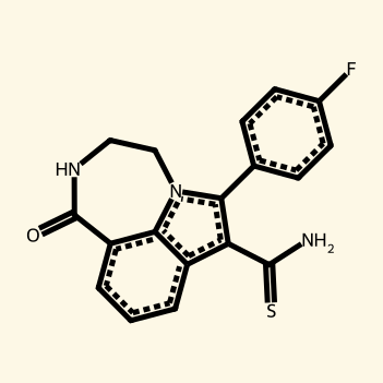 NC(=S)c1c(-c2ccc(F)cc2)n2c3c(cccc13)C(=O)NCC2